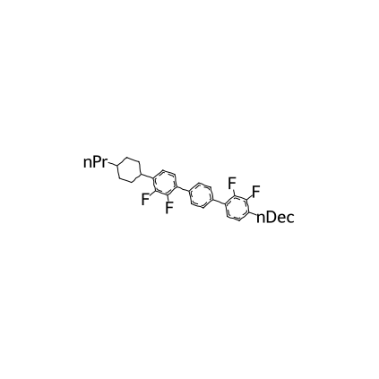 CCCCCCCCCCc1ccc(-c2ccc(-c3ccc(C4CCC(CCC)CC4)c(F)c3F)cc2)c(F)c1F